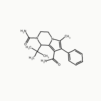 Cc1c(-c2ccccc2)c(C(N)=O)c2n1CCN(C(N)=O)C2C(C)(C)C